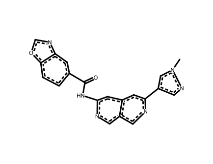 Cn1cc(-c2cc3cc(NC(=O)c4ccc5ocnc5c4)ncc3cn2)cn1